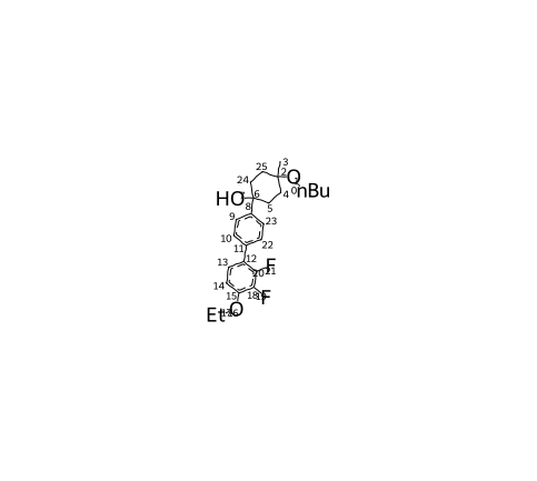 CCCCOC1(C)CCC(O)(c2ccc(-c3ccc(OCC)c(F)c3F)cc2)CC1